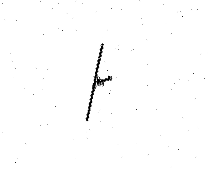 CCCCCCCCC=CCCCCCCCCOCC(COCCCCCCCCC=CCCCCCCCC)NC(=O)OCCCCN(C)C